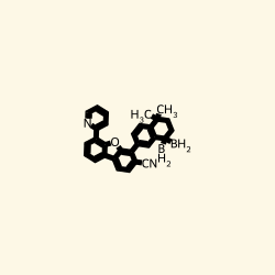 BC1(B)CCC(C)(C)c2ccc(-c3c(C#N)ccc4c3oc3c(-c5ccccn5)cccc34)cc21